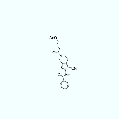 CC(=O)OCCCC(=O)N1CCc2c(sc(NC(=O)c3ccccc3)c2C#N)C1